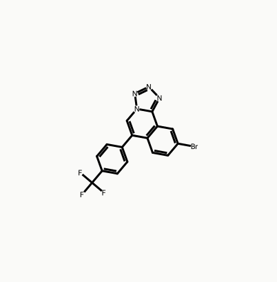 FC(F)(F)c1ccc(-c2cn3nnnc3c3cc(Br)ccc23)cc1